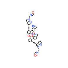 O=C(OC(=O)c1cccc(C#Cc2cn(CCCN3CCOCC3)c3ncccc23)c1-c1ccc2cc[nH]c2c1)c1cccc(C#Cc2cnc3c(ccn3CCN3CCOCC3)c2)c1-c1ccc2cc[nH]c2c1